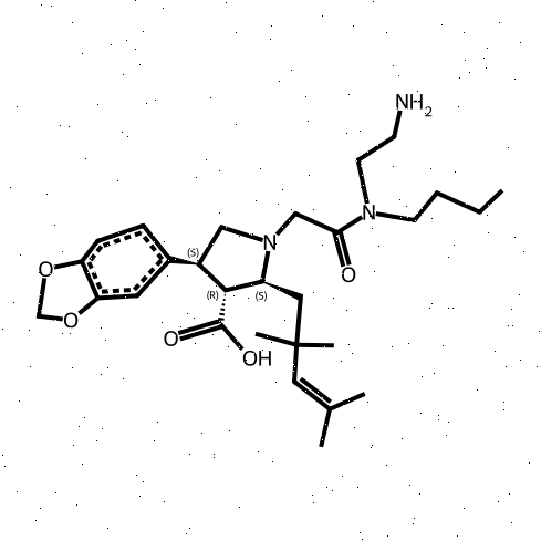 CCCCN(CCN)C(=O)CN1C[C@H](c2ccc3c(c2)OCO3)[C@@H](C(=O)O)[C@@H]1CC(C)(C)C=C(C)C